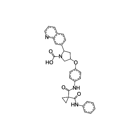 O=C(O)N1CC(Oc2ccc(NC(=O)C3(C(=O)Nc4ccccc4)CC3)cc2)CC1c1ccc2cccnc2c1